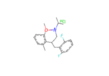 CON(CC(Cc1c(F)cccc1F)c1c(C)cccc1C)C(C)C.Cl